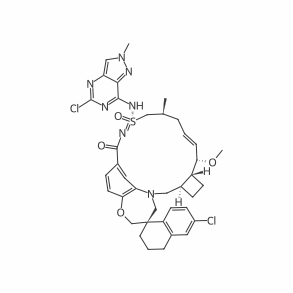 CO[C@H]1/C=C/C[C@H](C)C[S@@](=O)(Nc2nc(Cl)nc3cn(C)nc23)=NC(=O)c2ccc3c(c2)N(C[C@@H]2CC[C@H]21)C[C@@]1(CCCc2cc(Cl)ccc21)CO3